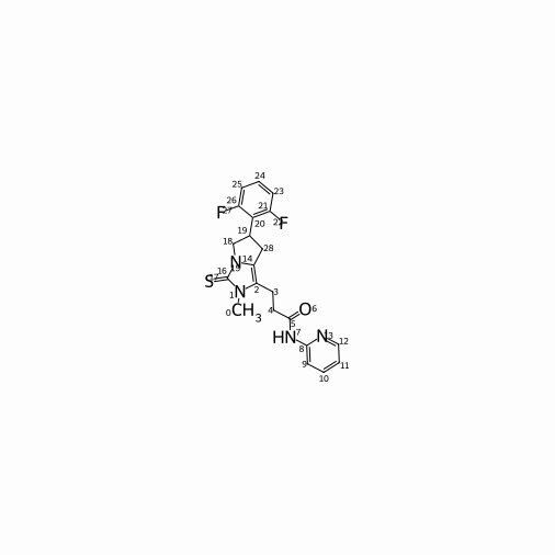 Cn1c(CCC(=O)Nc2ccccn2)c2n(c1=S)CC(c1c(F)cccc1F)C2